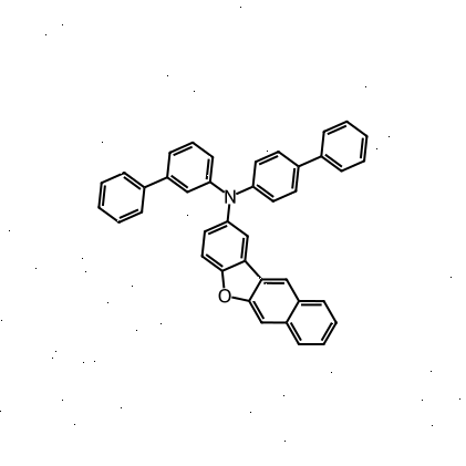 c1ccc(-c2ccc(N(c3cccc(-c4ccccc4)c3)c3ccc4oc5cc6ccccc6cc5c4c3)cc2)cc1